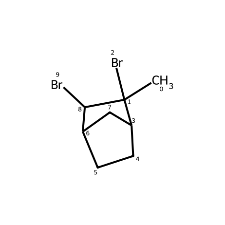 CC1(Br)C2CCC(C2)C1Br